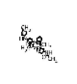 C=CC(=O)Nc1ccnc(C(C)(C)c2ccccc2Nc2ccc(NC3CCN(C)CC3)nc2OC)c1